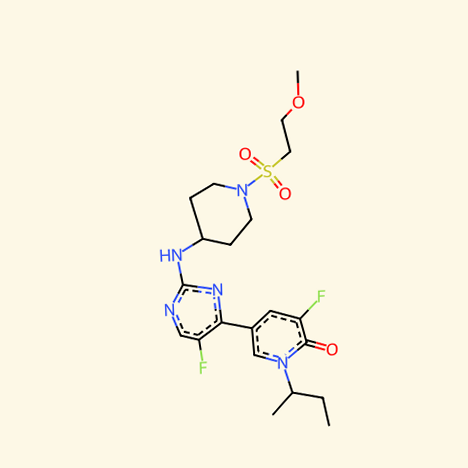 CCC(C)n1cc(-c2nc(NC3CCN(S(=O)(=O)CCOC)CC3)ncc2F)cc(F)c1=O